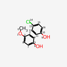 COc1ccc(O)cc1.Oc1ccc(Cl)cc1